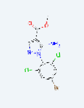 COC(=O)c1cnn(-c2c(Cl)cc(Br)cc2Cl)c1N